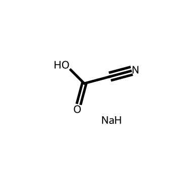 N#CC(=O)O.[NaH]